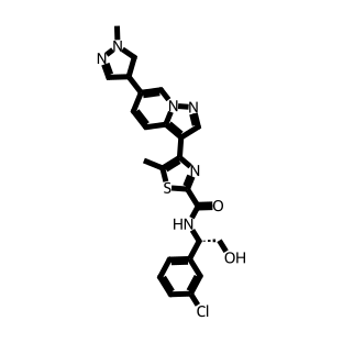 Cc1sc(C(=O)N[C@H](CO)c2cccc(Cl)c2)nc1-c1cnn2cc(C3C=NN(C)C3)ccc12